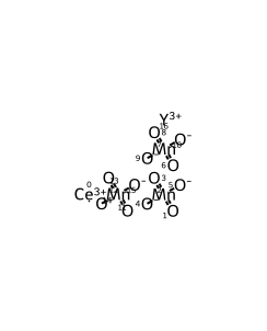 [Ce+3].[O]=[Mn](=[O])([O-])[O-].[O]=[Mn](=[O])([O-])[O-].[O]=[Mn](=[O])([O-])[O-].[Y+3]